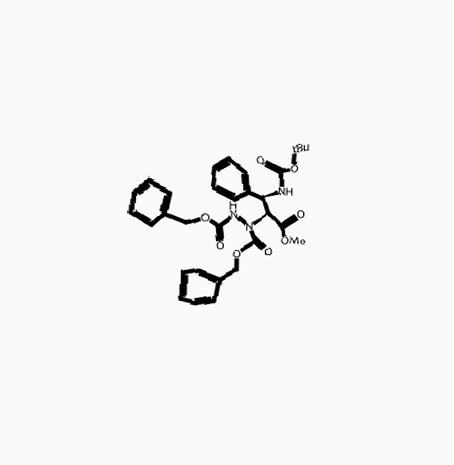 COC(=O)[C@H]([C@H](NC(=O)OC(C)(C)C)c1ccccc1)N(NC(=O)OCc1ccccc1)C(=O)OCc1ccccc1